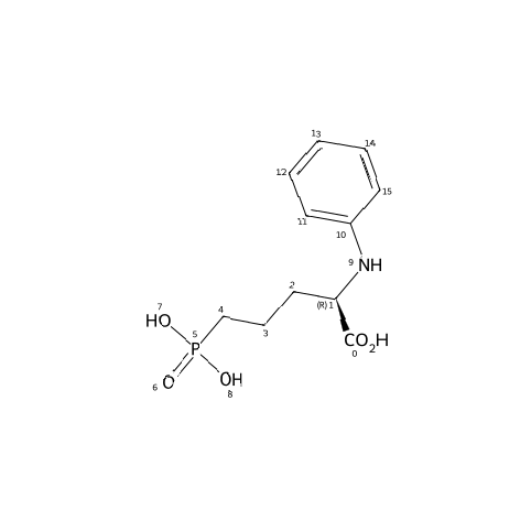 O=C(O)[C@@H](CCCP(=O)(O)O)Nc1ccccc1